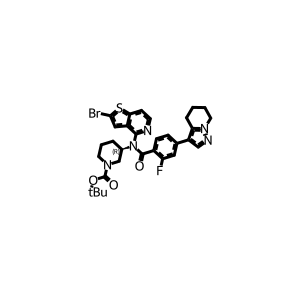 CC(C)(C)OC(=O)N1CCC[C@@H](N(C(=O)c2ccc(-c3cnn4c3CCCC4)cc2F)c2nccc3sc(Br)cc23)C1